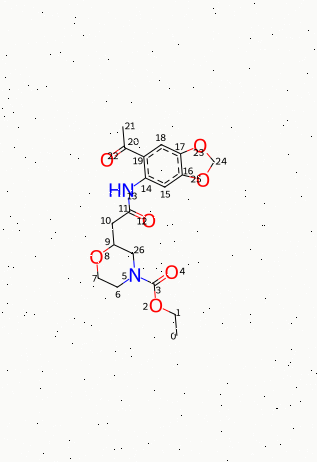 CCOC(=O)N1CCOC(CC(=O)Nc2cc3c(cc2C(C)=O)OCO3)C1